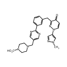 Cn1cc(-n2ccc(=O)c(Cc3cccc(-c4ncc(CN5CCN(C(=O)O)CC5)cn4)c3)n2)cn1